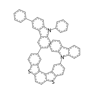 c1ccc(-c2ccc3c(c2)c2cc(-c4ccc5sc6ccc7sc8ccc(-n9c%10ccccc%10c%10ccccc%109)cc8c7c6c5c4)ccc2n3-c2ccccc2)cc1